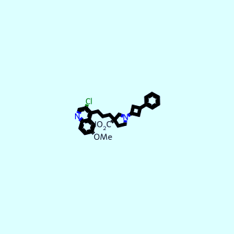 COc1ccc2ncc(Cl)c(CCCC3(C(=O)O)CCN(C4CC(c5ccccc5)C4)C3)c2c1